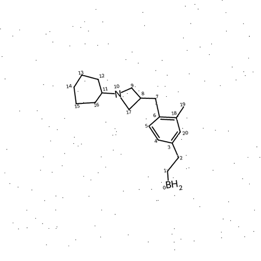 BCCc1ccc(CC2CN(C3CCCCC3)C2)c(C)c1